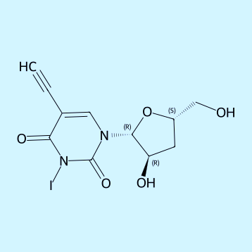 C#Cc1cn([C@@H]2O[C@H](CO)C[C@H]2O)c(=O)n(I)c1=O